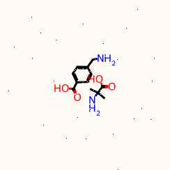 CC(C)(N)C(=O)O.NCc1ccc(C(=O)O)cc1